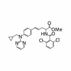 COC(=O)C(CC=Cc1ccc(N(CC2CC2)c2ncccn2)cc1)NC(=O)c1c(Cl)cccc1Cl